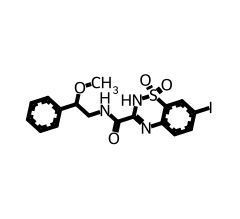 COC(CNC(=O)C1=Nc2ccc(I)cc2S(=O)(=O)N1)c1ccccc1